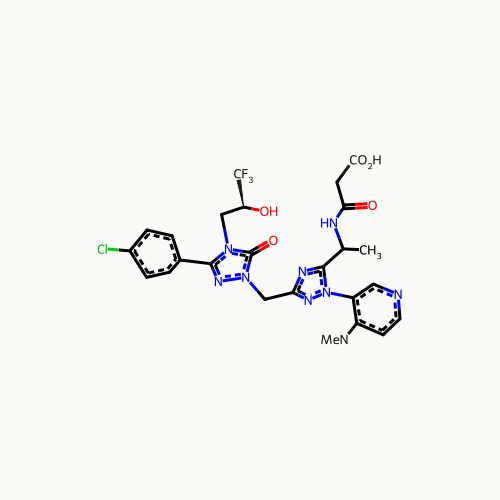 CNc1ccncc1-n1nc(Cn2nc(-c3ccc(Cl)cc3)n(C[C@H](O)C(F)(F)F)c2=O)nc1C(C)NC(=O)CC(=O)O